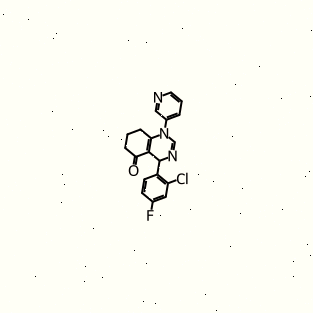 O=C1CCCC2=C1C(c1ccc(F)cc1Cl)N=CN2c1cccnc1